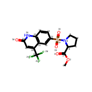 COC(=O)C1CCCN1S(=O)(=O)c1ccc2[nH]c(=O)cc(C(F)(F)F)c2c1